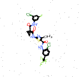 Cc1nc(NC(=O)C2(C(=O)Nc3cc(F)cc(Cl)c3)CC2)sc1C(=O)Nc1cc(C(F)(F)F)ccc1Cl